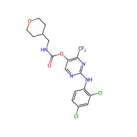 O=C(NCC1CCOCC1)Oc1cnc(Nc2ccc(Cl)cc2Cl)nc1C(F)(F)F